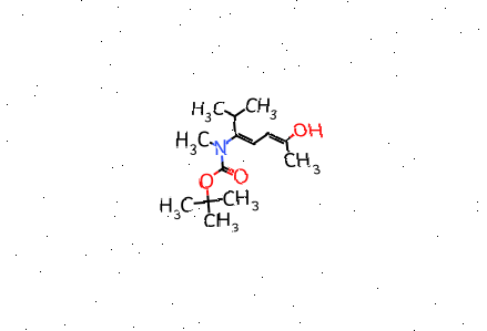 C/C(O)=C\C=C(/C(C)C)N(C)C(=O)OC(C)(C)C